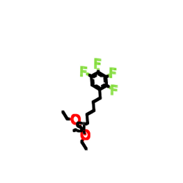 CCO[Si](C)(CCCCCc1cc(F)c(F)c(F)c1F)OCC